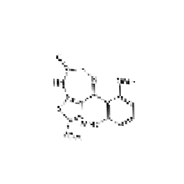 CCCCCCCCCCc1cc2c(s1)NC(=O)CN=C2c1c(OC)cccc1OC